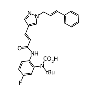 CC(C)(C)N(C(=O)O)c1cc(F)ccc1NC(=O)/C=C/c1cnn(CC=Cc2ccccc2)c1